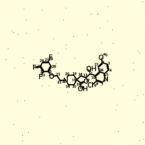 COc1ccc2ncc(Cl)c([C@@H](O)CCC3(C(=O)O)CCN(CCOc4cc(F)cc(F)c4F)CC3)c2c1